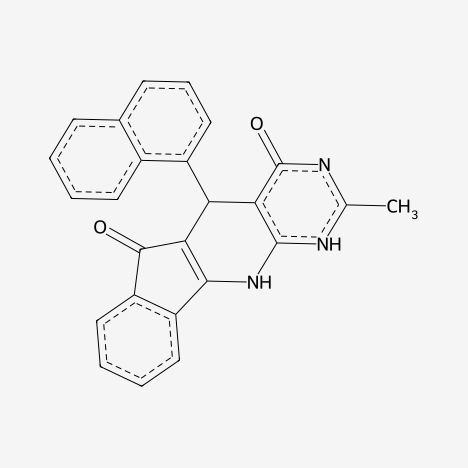 Cc1nc(=O)c2c([nH]1)NC1=C(C(=O)c3ccccc31)C2c1cccc2ccccc12